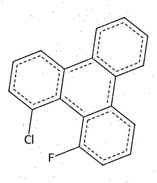 Fc1cccc2c3ccccc3c3cccc(Cl)c3c12